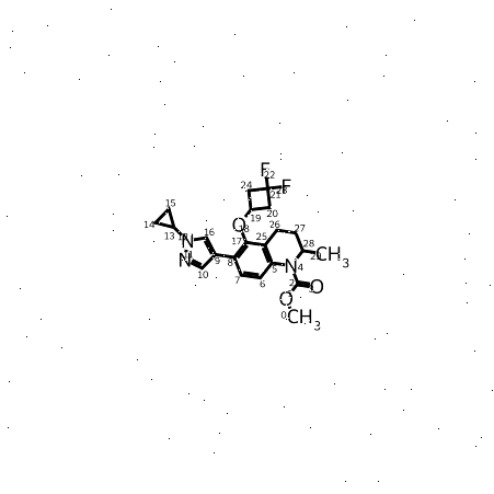 COC(=O)N1c2ccc(-c3cnn(C4CC4)c3)c(OC3CC(F)(F)C3)c2CCC1C